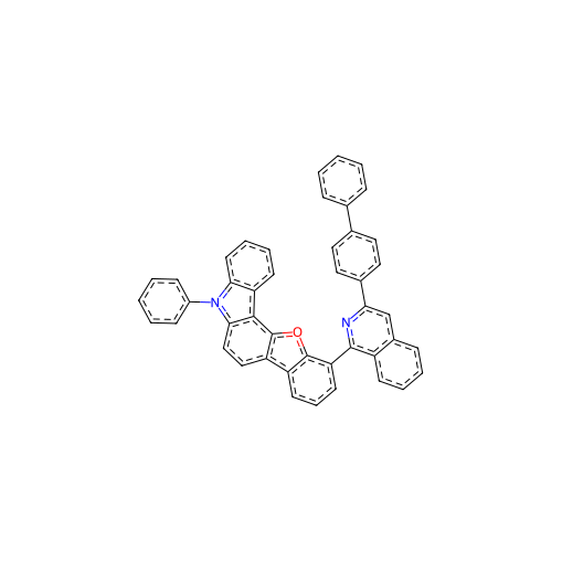 c1ccc(-c2ccc(-c3cc4ccccc4c(-c4cccc5c4oc4c5ccc5c4c4ccccc4n5-c4ccccc4)n3)cc2)cc1